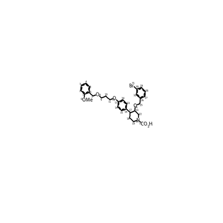 COc1ccccc1COCCCOc1ccc(C2CCN(C(=O)O)CC2OCc2cccc(Br)c2)cc1